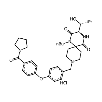 CCCCN1C(=O)[C@@H]([C@H](O)C(C)C)NC(=O)C12CCN(Cc1ccc(Oc3ccc(C(=O)N4CCCC4)cc3)cc1)CC2.Cl